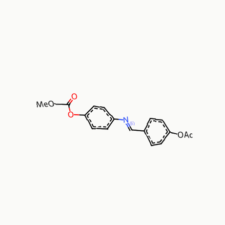 COC(=O)Oc1ccc(/N=C/c2ccc(OC(C)=O)cc2)cc1